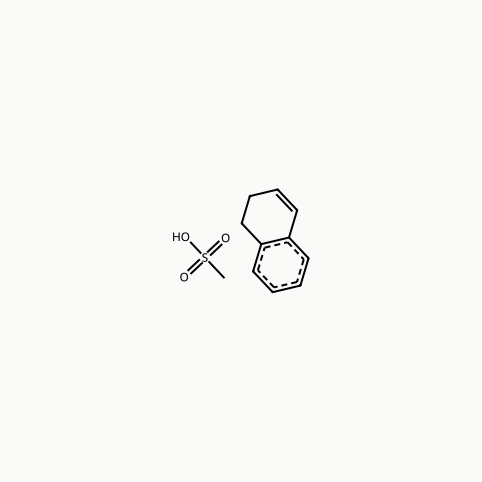 C1=Cc2ccccc2CC1.CS(=O)(=O)O